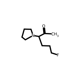 CC(=O)C(CCCF)N1CCCC1